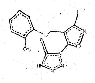 Cc1ccccc1OCc1c(I)noc1-n1nn[nH]c1=O